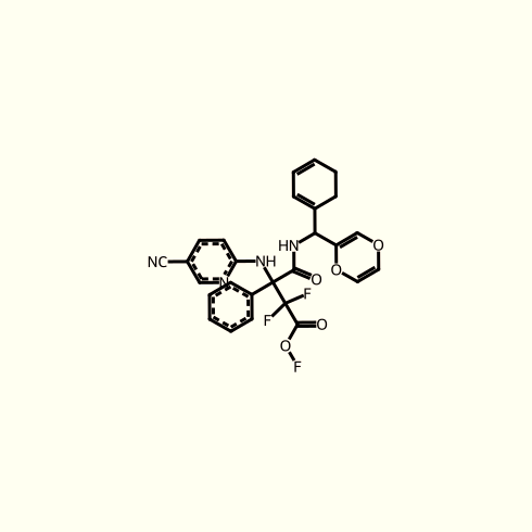 N#Cc1ccc(NC(C(=O)NC(C2=CC=CCC2)C2=COC=CO2)(c2ccccc2)C(F)(F)C(=O)OF)nc1